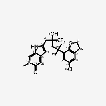 Cn1cc2[nH]c(CC(O)(CC(C)(C)c3cc(Cl)cc4c3OCC4)C(F)(F)F)cc2cc1=O